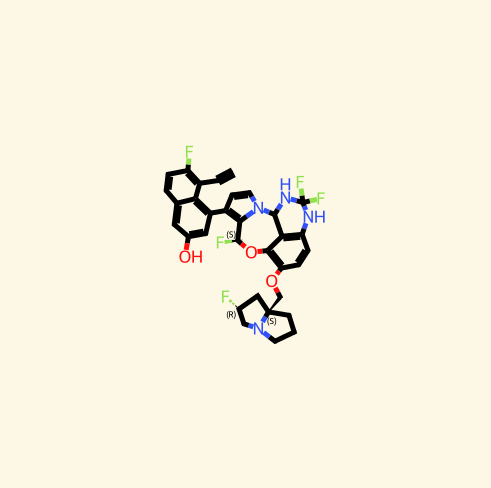 C#Cc1c(F)ccc2cc(O)cc(-c3ccn4c3[C@H](F)Oc3c(OC[C@@]56CCCN5C[C@H](F)C6)ccc5c3C4NC(F)(F)N5)c12